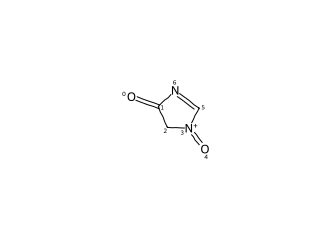 O=C1C[N+](=O)C=N1